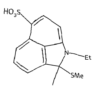 CCN1c2ccc(S(=O)(=O)O)c3cccc(c23)C1(C)SC